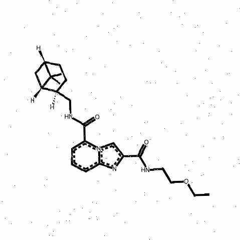 CCOCCNC(=O)c1cn2c(C(=O)NC[C@@H]3CC[C@H]4C[C@@H]3C4(C)C)cccc2n1